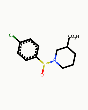 O=C(O)C1CCCN([S+]([O-])c2ccc(Cl)cc2)C1